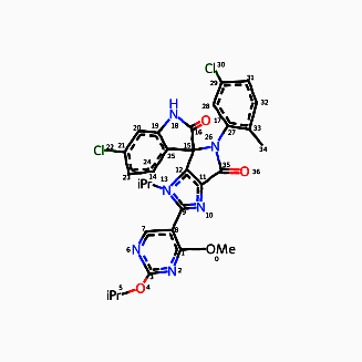 COc1nc(OC(C)C)ncc1-c1nc2c(n1C(C)C)C1(C(=O)Nc3cc(Cl)ccc31)N(c1cc(Cl)ccc1C)C2=O